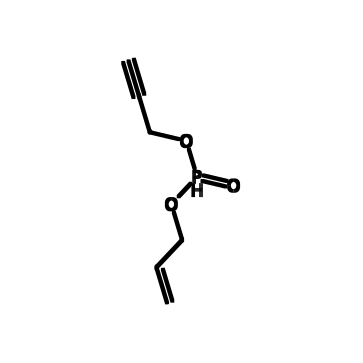 C#CCO[PH](=O)OCC=C